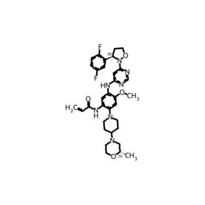 C=CC(=O)Nc1cc(Nc2cc(N3OCC[C@@H]3c3cc(F)ccc3F)ncn2)c(OC)cc1N1CCC(N2CCO[C@@H](C)C2)CC1